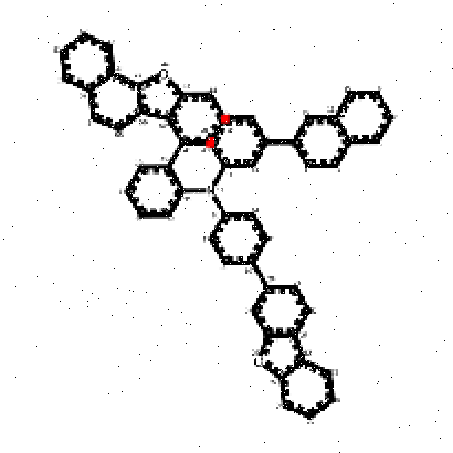 c1cc(-c2ccc3ccccc3c2)cc(N(c2ccc(-c3ccc4c(c3)oc3ccccc34)cc2)c2ccccc2-c2cccc3oc4c5ccccc5ccc4c23)c1